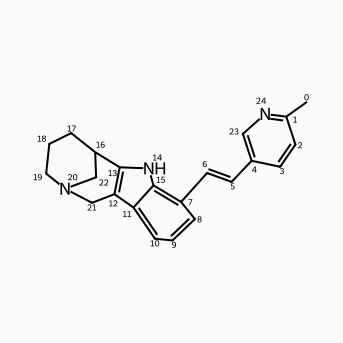 Cc1ccc(/C=C/c2cccc3c4c([nH]c23)C2CCCN(C4)C2)cn1